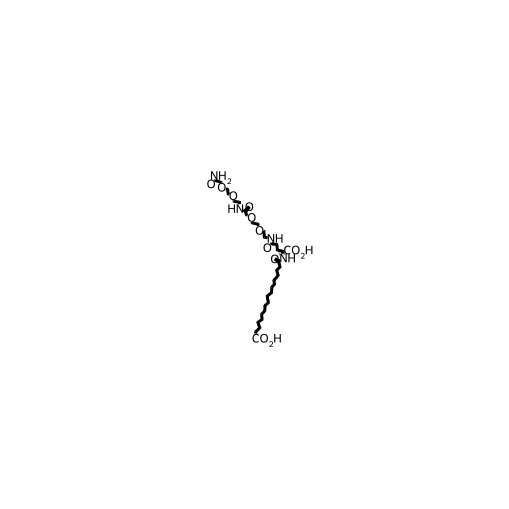 NC(=O)COCCOCCNC(=O)COCCOCCNC(=O)CC[C@H](NC(=O)CCCCCCCCCCCCCCCCC(=O)O)C(=O)O